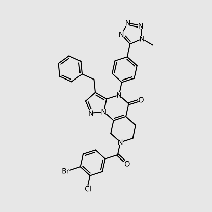 Cn1nnnc1-c1ccc(-n2c(=O)c3c(n4ncc(Cc5ccccc5)c24)CN(C(=O)c2ccc(Br)c(Cl)c2)CC3)cc1